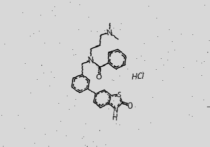 CN(C)CCCN(Cc1cccc(-c2ccc3[nH]c(=O)sc3c2)c1)C(=O)c1ccccc1.Cl